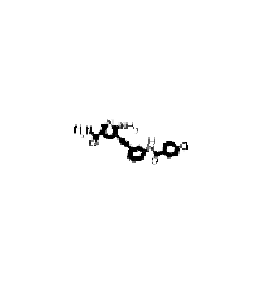 NC(=O)c1cnc(N)c(C#Cc2cccc(NC(=O)c3ccc(Cl)cc3)c2)c1